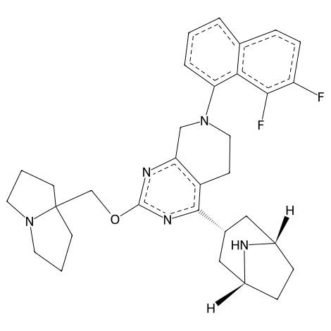 Fc1ccc2cccc(N3CCc4c(nc(OCC56CCCN5CCC6)nc4[C@H]4C[C@H]5CC[C@@H](C4)N5)C3)c2c1F